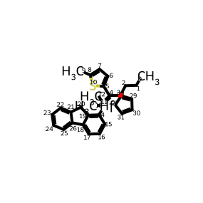 CCCC[C](c1ccc(C)s1)=[Hf]([CH3])([CH3])([c]1cccc2c1Cc1ccccc1-2)[CH]1C=CC=C1